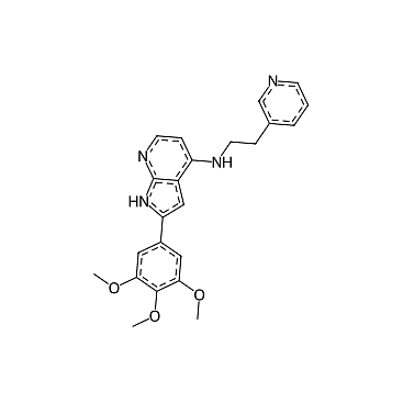 COc1cc(-c2cc3c(NCCc4cccnc4)ccnc3[nH]2)cc(OC)c1OC